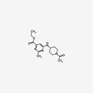 CCOC(=O)c1cc(NC2CCN(C(C)=O)CC2)nc(C)n1